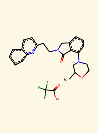 CC1CN(c2cccc3c2C(=O)N(CCc2ccc4ccccc4n2)C3)CCO1.O=C(O)C(F)(F)F